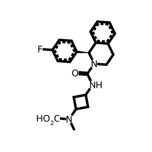 CN(C(=O)O)C1CC(NC(=O)N2CCc3ccccc3[C@@H]2c2ccc(F)cc2)C1